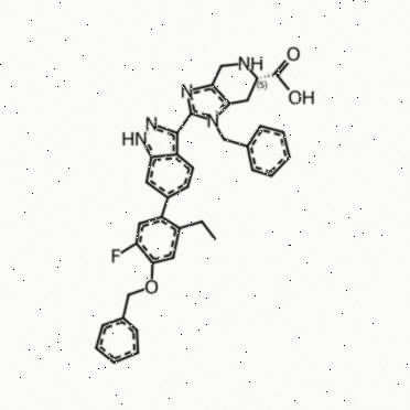 CCc1cc(OCc2ccccc2)c(F)cc1-c1ccc2c(-c3nc4c(n3Cc3ccccc3)C[C@@H](C(=O)O)NC4)n[nH]c2c1